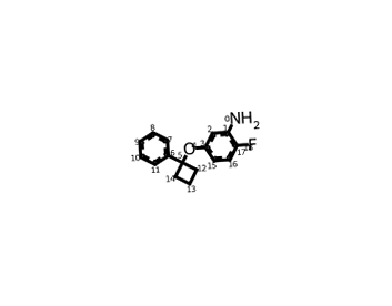 Nc1cc(OC2(c3ccccc3)CCC2)ccc1F